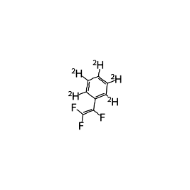 [2H]c1c([2H])c([2H])c(C(F)=C(F)F)c([2H])c1[2H]